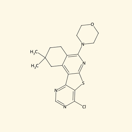 CC1(C)CCc2c(N3CCOCC3)nc3sc4c(Cl)ncnc4c3c2C1